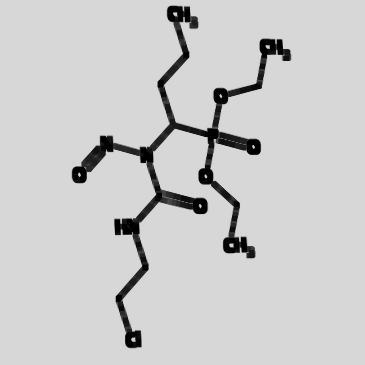 CCCC(N(N=O)C(=O)NCCCl)P(=O)(OCC)OCC